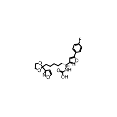 O=C(O)N[C@H](CCCCCC1(c2ccon2)OCCO1)c1cc(-c2ccc(F)cc2)on1